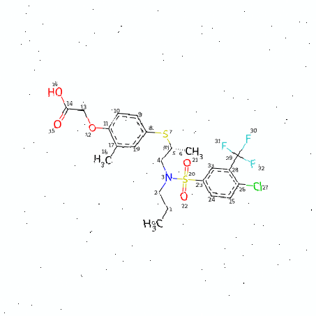 CCCN(C[C@@H](C)Sc1ccc(OCC(=O)O)c(C)c1)S(=O)(=O)c1ccc(Cl)c(C(F)(F)F)c1